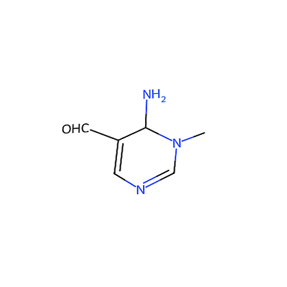 CN1C=NC=C(C=O)C1N